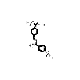 COc1ccc(C(O)CCC2C=CC(C(C)C)=CC2)cc1